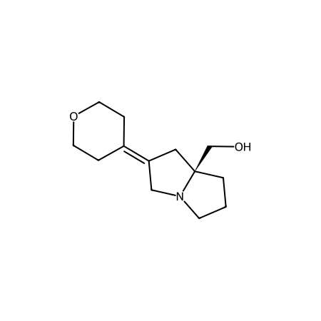 OC[C@@]12CCCN1CC(=C1CCOCC1)C2